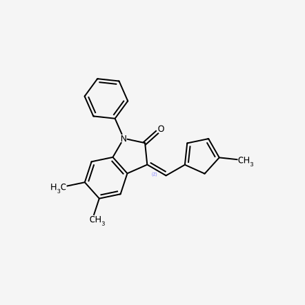 CC1=CC=C(/C=C2\C(=O)N(c3ccccc3)c3cc(C)c(C)cc32)C1